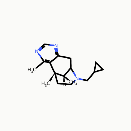 Cc1ncnc2c1[C@@]1(C)CCN(CC3CC3)C(C2)[C@@H]1C